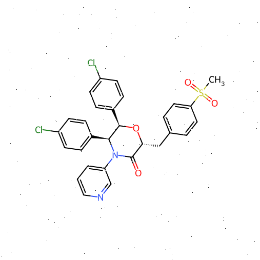 CS(=O)(=O)c1ccc(C[C@H]2O[C@H](c3ccc(Cl)cc3)[C@H](c3ccc(Cl)cc3)N(c3cccnc3)C2=O)cc1